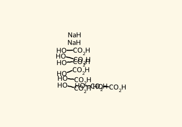 O=C(O)O.O=C(O)O.O=C(O)O.O=C(O)O.O=C(O)O.O=C(O)O.O=C(O)O.O=C(O)O.[NaH].[NaH]